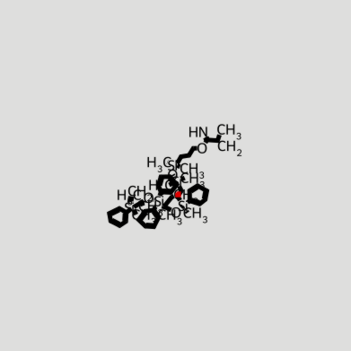 C=C[Si](C)(c1ccccc1)C(C)(C)O[Si](c1ccccc1)(c1ccccc1)C(C)(CC)O[Si](C)(CC[Si](C)(C)O[Si](C)(C)CCCOC(=N)C(=C)C)c1ccccc1